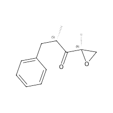 C[C@@H](Cc1ccccc1)C(=O)[C@@]1(C)CO1